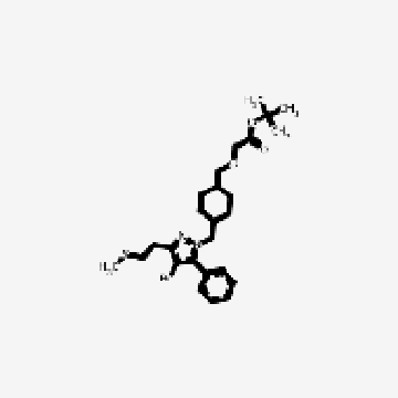 CSCCc1nn(CC2CCC(COCC(=O)OC(C)(C)C)CC2)c(-c2ccccc2)c1Br